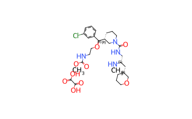 CN[C@H](CNC(=O)N1CCC[C@@H]([C@@H](OCCNC(=O)OC)c2cccc(Cl)c2)C1)C[C@H]1CCCOC1.O=C(O)C(=O)O